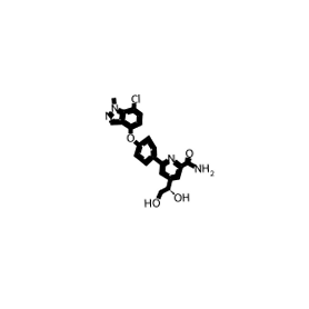 Cn1ncc2c(Oc3ccc(-c4cc([C@H](O)CO)cc(C(N)=O)n4)cc3)ccc(Cl)c21